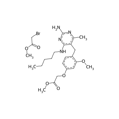 CCCCCNc1nc(N)nc(C)c1Cc1ccc(OCC(=O)OC)cc1OC.COC(=O)CBr